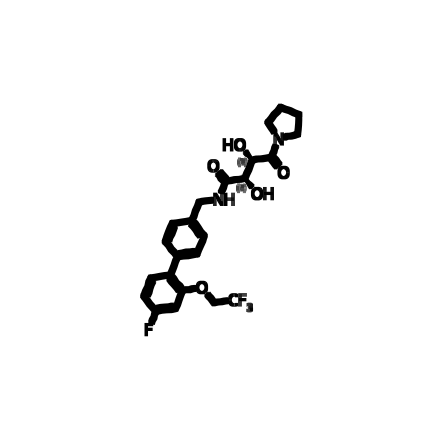 O=C(NCc1ccc(-c2ccc(F)cc2OCC(F)(F)F)cc1)[C@H](O)[C@@H](O)C(=O)N1CCCC1